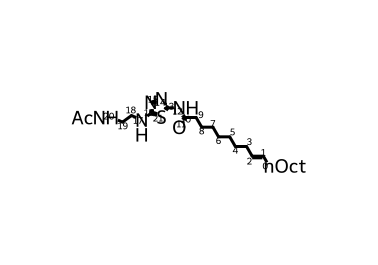 CCCCCCCCC=CCCCCCCCC(=O)Nc1nnc(NCCNC(C)=O)s1